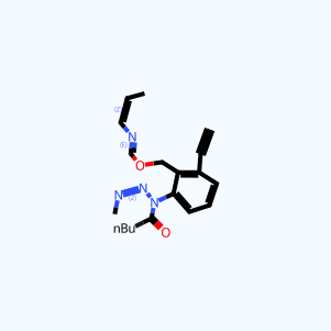 C#Cc1cccc(N(/N=N\C)C(=O)CCCC)c1CO/C=N/C=C\C